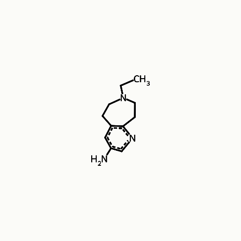 CCN1CCc2cc(N)cnc2CC1